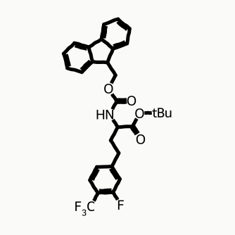 CC(C)(C)OC(=O)C(CCc1ccc(C(F)(F)F)c(F)c1)NC(=O)OCC1c2ccccc2-c2ccccc21